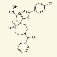 O=C(C[C@]1(c2ccc(-c3ccc(Cl)cc3)s2)CCN(C(=O)c2ccccc2)CCS1(=O)=O)NO